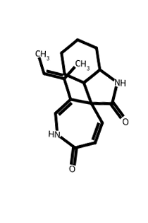 CC=C(C)C1=CNC(=O)C=CC12C(=O)NC1CCCCC12